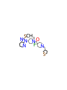 CSc1nc2cccnc2n1C1CCN(C(=O)C2(F)CCN(Cc3ccsc3)CC2)CC1